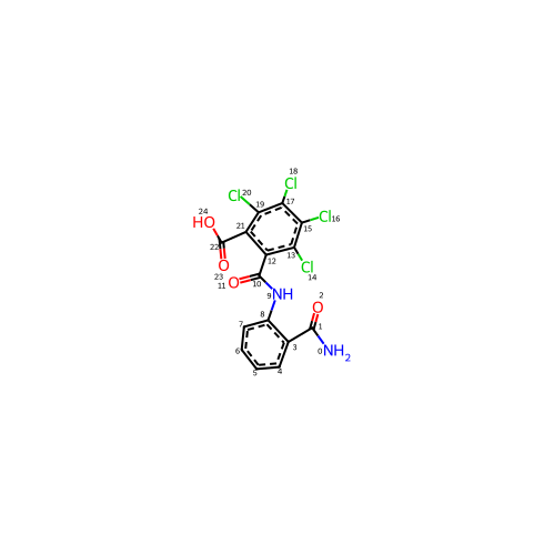 NC(=O)c1ccccc1NC(=O)c1c(Cl)c(Cl)c(Cl)c(Cl)c1C(=O)O